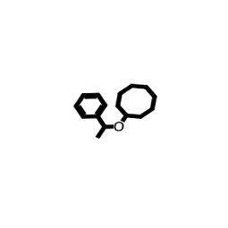 CC(OC1CCCCCCC1)c1ccccc1